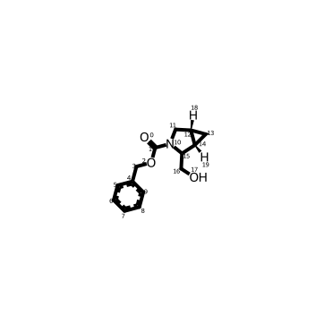 O=C(OCc1ccccc1)N1C[C@@H]2C[C@@H]2C1CO